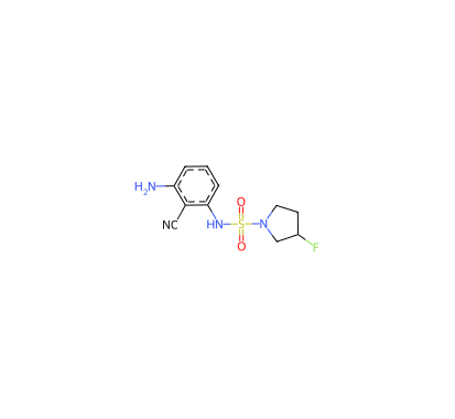 N#Cc1c(N)cccc1NS(=O)(=O)N1CCC(F)C1